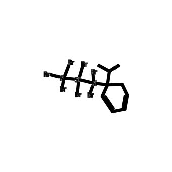 CC(C)C1([Si](Br)(Br)[Si](Br)(Br)[Si](Br)(Br)Br)C=CC=CC1